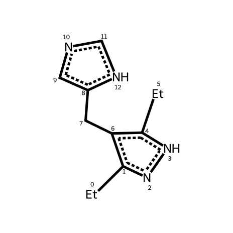 CCc1n[nH]c(CC)c1Cc1cnc[nH]1